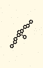 c1ccc(-c2ccc3cc(-c4cc5ccc6cc(-c7ccc8cc(-c9ccccc9)ccc8c7)cc7c6c5c(c4)n7-c4ccccc4)ccc3c2)cc1